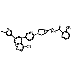 Cn1cc(-c2cc(-c3ccc(N4CC5C(CNC(=O)c6ncccc6C(F)(F)F)C5C4)nc3)c3c(C#N)cnn3c2)cn1